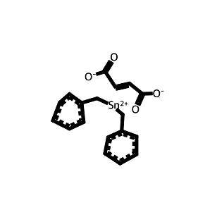 O=C([O-])C=CC(=O)[O-].c1ccc([CH2][Sn+2][CH2]c2ccccc2)cc1